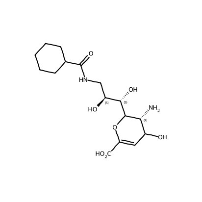 N[C@@H]1C(O)C=C(C(=O)O)OC1[C@@H](O)[C@@H](O)CNC(=O)C1CCCCC1